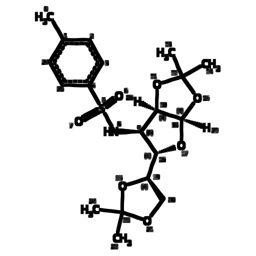 Cc1ccc(S(=O)(=O)N[C@H]2[C@H]3OC(C)(C)O[C@H]3O[C@@H]2[C@H]2COC(C)(C)O2)cc1